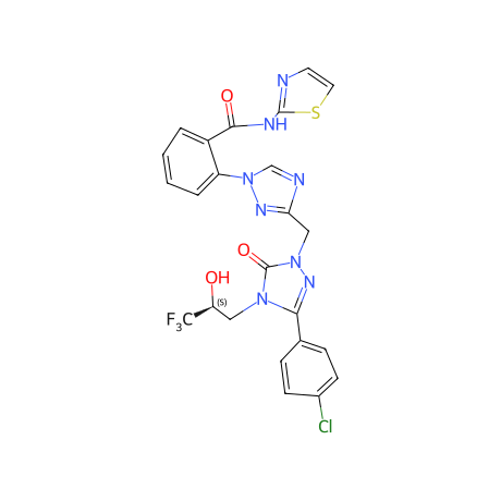 O=C(Nc1nccs1)c1ccccc1-n1cnc(Cn2nc(-c3ccc(Cl)cc3)n(C[C@H](O)C(F)(F)F)c2=O)n1